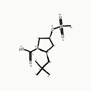 CC(C)(C)C[C@@H]1C[C@H](OS(C)(=O)=O)CN1C(=O)O